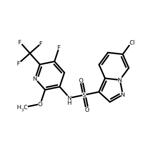 COc1nc(C(F)(F)F)c(F)cc1NS(=O)(=O)c1cnn2cc(Cl)ccc12